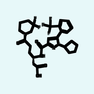 O=C(O)C[C@H](CCC(=O)N1CCCC(F)(F)C1)NC(=O)c1cc(-c2ccccc2C(F)(F)F)n(C2CCCC2)n1